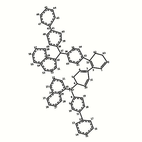 C1=CC(C2=CCC(N(c3ccc(-c4ccccc4)cc3)c3cccc4ccccc34)C=C2)=C(c2ccc(C(c3ccc(-c4ccccc4)cc3)c3cccc4ccccc34)cc2)CC1